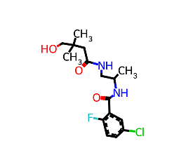 CC(CNC(=O)CC(C)(C)CO)NC(=O)c1cc(Cl)ccc1F